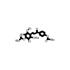 CCOc1c(C=CC(=O)c2ccc(OC(=O)C(C)(C)C)cc2)c(OC)c(CC)c(OC(=O)C(C)(C)C)c1CC